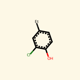 [CH2]Cc1ccc(O)c(Cl)c1